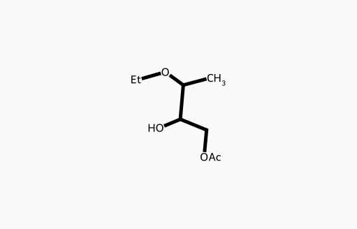 CCOC(C)C(O)COC(C)=O